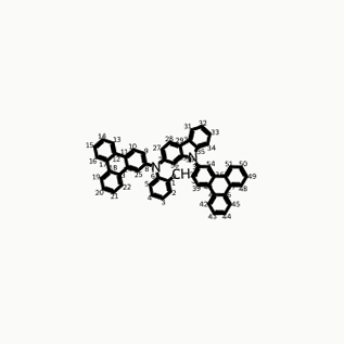 Cc1ccccc1N(c1ccc2c3ccccc3c3ccccc3c2c1)c1ccc2c3ccccc3n(-c3ccc4c5ccccc5c5ccccc5c4c3)c2c1